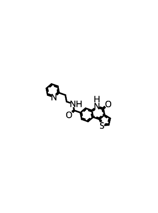 O=C(NCCc1ccccn1)c1ccc2c(c1)[nH]c(=O)c1ccsc12